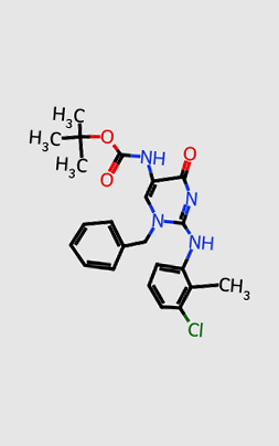 Cc1c(Cl)cccc1Nc1nc(=O)c(NC(=O)OC(C)(C)C)cn1Cc1ccccc1